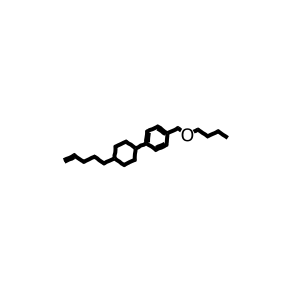 C=CCCCC1CCC(c2ccc(COCCCC)cc2)CC1